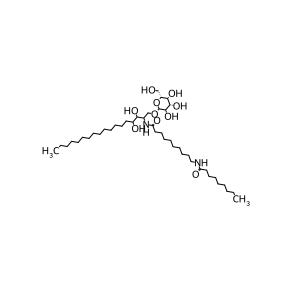 CCCCCCCCCCCCCCC(O)C(O)C(CO[C@H]1O[C@H](CO)[C@H](O)[C@H](O)[C@H]1O)NC(=O)CCCCCCCCCNC(=O)CCCCCCCC